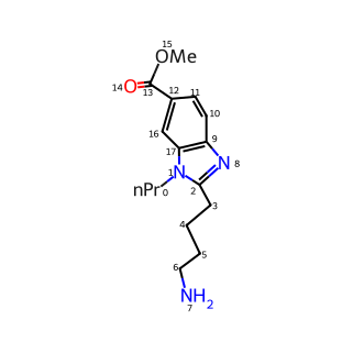 CCCn1c(CCCCN)nc2ccc(C(=O)OC)cc21